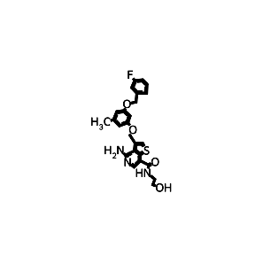 Cc1cc(OCc2cccc(F)c2)cc(OCc2csc3c(C(=O)NCCO)cnc(N)c23)c1